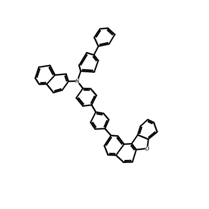 c1ccc(-c2ccc(N(c3ccc(-c4ccc(-c5ccc6ccc7oc8ccccc8c7c6c5)cc4)cc3)c3ccc4ccccc4c3)cc2)cc1